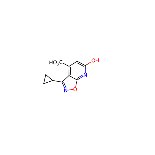 O=C(O)c1cc(O)nc2onc(C3CC3)c12